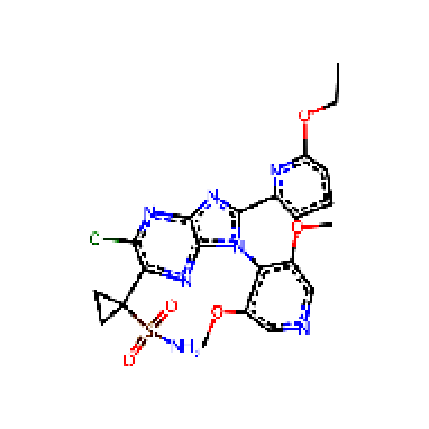 CCOc1cccc(-c2nc3nc(Cl)c(C4(S(N)(=O)=O)CC4)nc3n2-c2c(OC)cncc2OC)n1